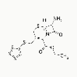 CCOC(=O)C1=C(CSc2cnns2)CS[C@H]2C(N)C(=O)N12